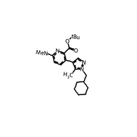 CNc1ccc(-c2cnn(CC3CCCCC3)c2C)c(C(=O)OC(C)(C)C)n1